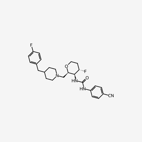 N#Cc1ccc(NC(=O)N[C@@H]2[C@@H](F)CCO[C@@H]2CN2CCC(Cc3ccc(F)cc3)CC2)cc1